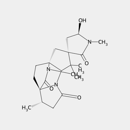 C[C@H]1CC(=O)N2C3C(C)(C)[C@@]4(C[C@@H](O)N(C)C4=O)C[C@]34CC[C@]12C(=O)N4C